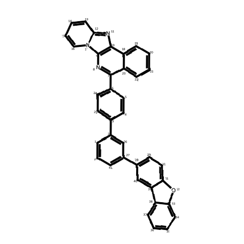 c1cc(-c2ccc(-c3nc4c(nc5ccccn54)c4ccccc34)cc2)cc(-c2ccc3oc4ccccc4c3c2)c1